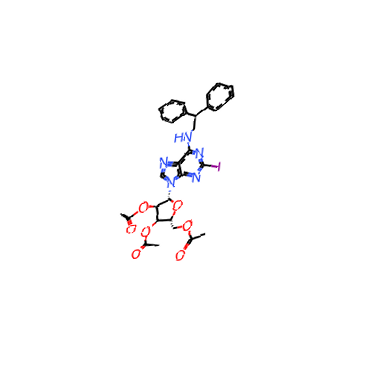 CC(=O)OC[C@H]1O[C@@H](n2cnc3c(NCC(c4ccccc4)c4ccccc4)nc(I)nc32)[C@H](OC(C)=O)[C@@H]1OC(C)=O